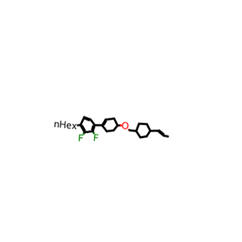 C/C=C/C1CCC(COC2CC=C(c3ccc(CCCCCC)c(F)c3F)CC2)CC1